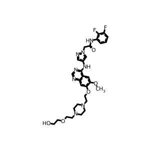 COc1cc2c(Nc3cnn(CC(=O)Nc4cccc(F)c4F)c3)ncnc2cc1OCCN1CCN(CCOCCO)CC1